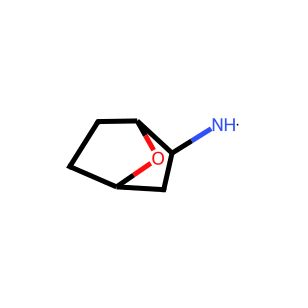 [NH]C1CC2CCC1O2